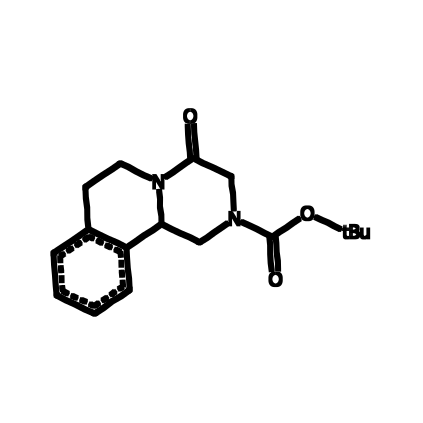 CC(C)(C)OC(=O)N1CC(=O)N2CCc3ccccc3C2C1